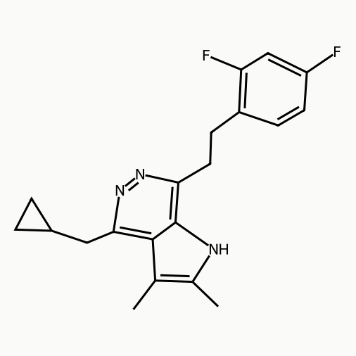 Cc1[nH]c2c(CCc3ccc(F)cc3F)nnc(CC3CC3)c2c1C